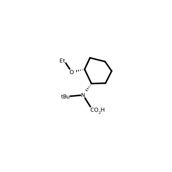 CCO[C@@H]1CCCC[C@@H]1N(C(=O)O)C(C)(C)C